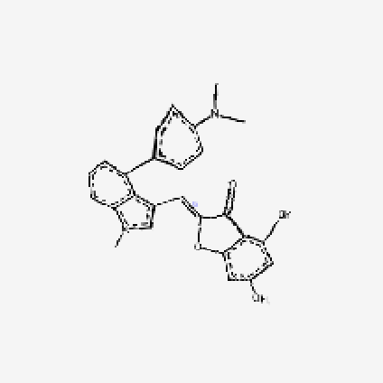 CN(C)c1ccc(-c2cccc3c2c(/C=C2\Oc4cc(O)cc(O)c4C2=O)cn3C)cc1